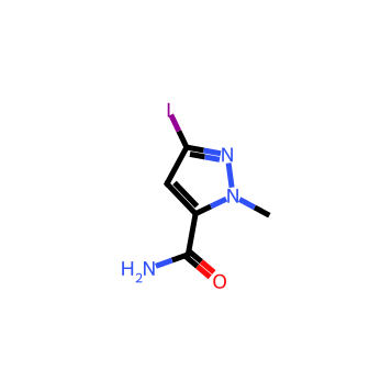 Cn1nc(I)cc1C(N)=O